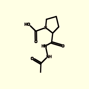 CC(=O)NNC(=O)C1CCCN1C(=O)O